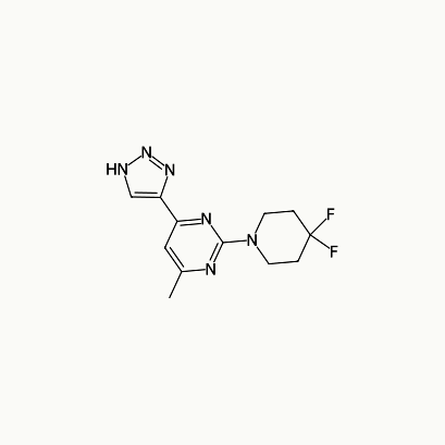 Cc1cc(-c2c[nH]nn2)nc(N2CCC(F)(F)CC2)n1